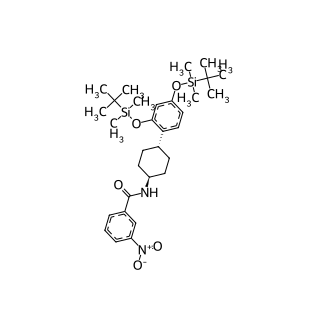 CC(C)(C)[Si](C)(C)Oc1ccc([C@H]2CC[C@H](NC(=O)c3cccc([N+](=O)[O-])c3)CC2)c(O[Si](C)(C)C(C)(C)C)c1